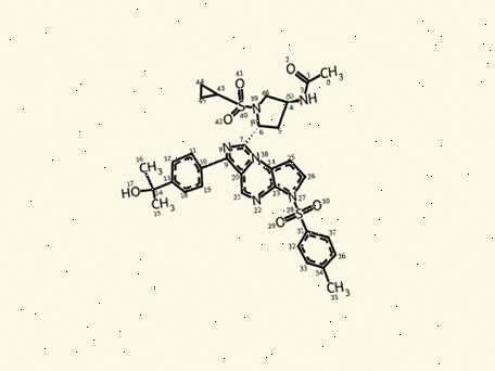 CC(=O)N[C@H]1C[C@H](c2nc(-c3ccc(C(C)(C)O)cc3)c3cnc4c(ccn4S(=O)(=O)c4ccc(C)cc4)n23)N(S(=O)(=O)C2CC2)C1